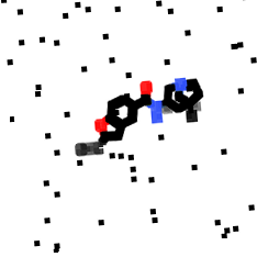 O=Cc1cc2cc(C(=O)N[C@@H]3C[C@@H]4CCN(C4)C3)ccc2o1